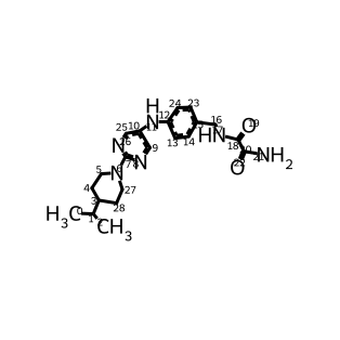 CC(C)C1CCN(c2ncc(Nc3ccc(CNC(=O)C(N)=O)cc3)cn2)CC1